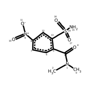 CN(C)C(=O)c1ccc([N+](=O)[O-])cc1S(N)(=O)=O